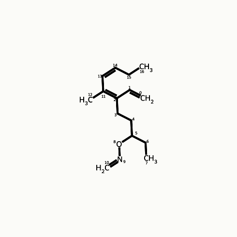 C=C/C(CCC(CC)ON=C)=C(C)\C=C/CC